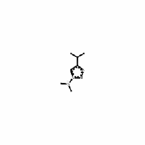 CC(C)c1cn([SiH](C)C)nn1